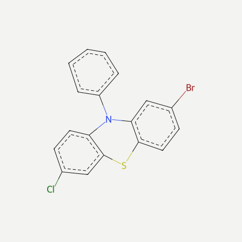 Clc1ccc2c(c1)Sc1ccc(Br)cc1N2c1ccccc1